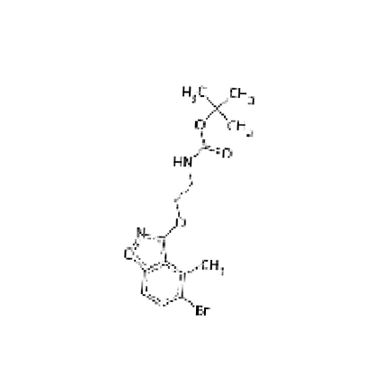 Cc1c(Br)ccc2onc(OCCNC(=O)OC(C)(C)C)c12